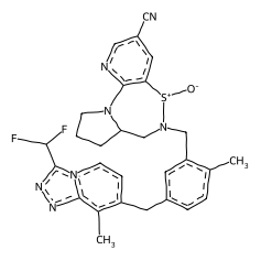 Cc1ccc(Cc2ccn3c(C(F)F)nnc3c2C)cc1CN1CC2CCCN2c2ncc(C#N)cc2[S+]1[O-]